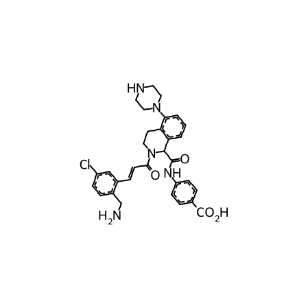 NCc1ccc(Cl)cc1/C=C/C(=O)N1CCc2c(cccc2N2CCNCC2)C1C(=O)Nc1ccc(C(=O)O)cc1